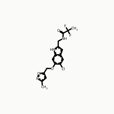 Cc1cc(COc2cc3[nH]c(CNC(=O)C(C)(F)F)cc3cc2Cl)on1